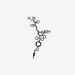 CC#CCOc1ccc(S(=O)(=O)C(CCCCNC(=O)CN)C(=O)NO)cc1